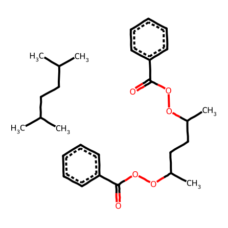 CC(C)CCC(C)C.CC(CCC(C)OOC(=O)c1ccccc1)OOC(=O)c1ccccc1